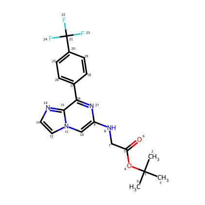 CC(C)(C)OC(=O)CNc1cn2ccnc2c(-c2ccc(C(F)(F)F)cc2)n1